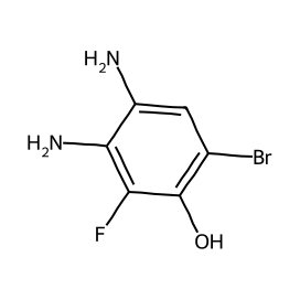 Nc1cc(Br)c(O)c(F)c1N